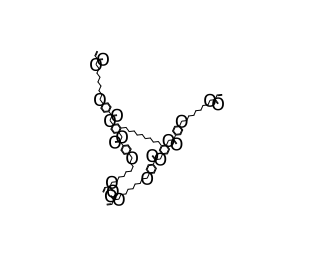 C=CC(=O)OCCCCCCCOc1ccc(C(=O)Oc2ccc(OC(=O)c3ccc(OCCCCCCCOC(=O)C=C)cc3)c(CCCCCCCCCc3cc(OC(=O)c4ccc(OCCCCCCCOC(=O)C=C)cc4)ccc3OC(=O)c3ccc(OCCCCCCCOC(=O)C=C)cc3)c2)cc1